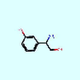 NC(CO)c1cccc(O)c1